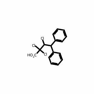 O=C(O)C(Cl)(Cl)C(Cl)C(c1ccccc1)c1ccccc1